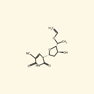 C=COC(C)[C@H]1O[C@@H](n2cc(C#N)c(=O)[nH]c2=O)C[C@@H]1O